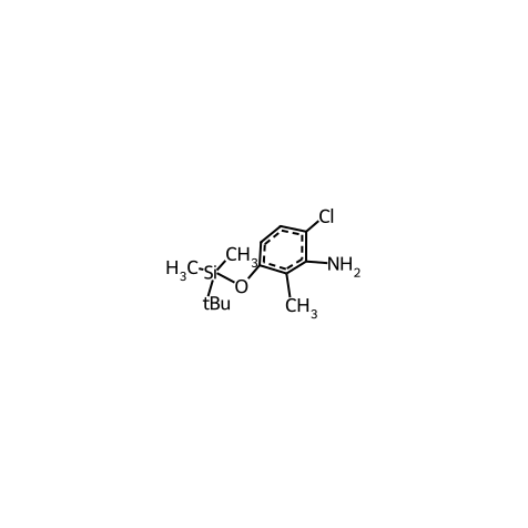 Cc1c(O[Si](C)(C)C(C)(C)C)ccc(Cl)c1N